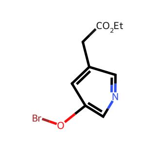 CCOC(=O)Cc1cncc(OBr)c1